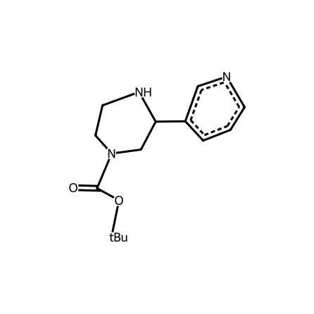 CC(C)(C)OC(=O)N1CCNC(c2cccnc2)C1